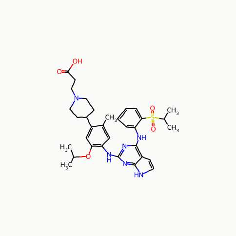 Cc1cc(Nc2nc(Nc3ccccc3S(=O)(=O)C(C)C)c3cc[nH]c3n2)c(OC(C)C)cc1C1CCN(CCC(=O)O)CC1